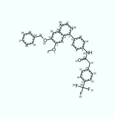 COc1cc2c(-c3ccc(NC(=O)Cc4ccc(C(F)(F)F)cc4)cc3)ncnc2cc1OCc1ccccc1